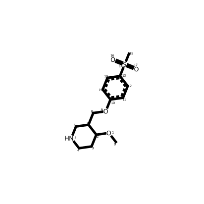 COC1CCNCC1COc1ccc(S(C)(=O)=O)cc1